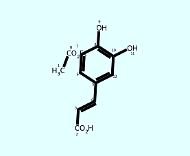 CCOC(C)=O.O=C(O)C=Cc1ccc(O)c(O)c1